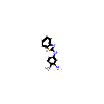 Cc1ccc(Nc2nc3ccccc3s2)cc1N